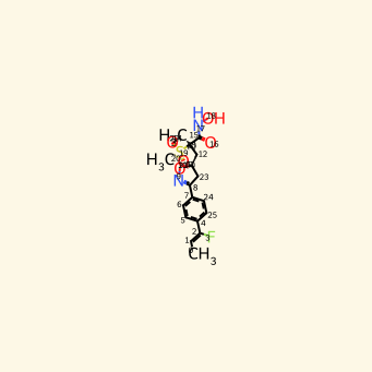 CC=C(F)c1ccc(C2=NO[C@@H](C[C@](C)(C(=O)NO)S(C)(=O)=O)C2)cc1